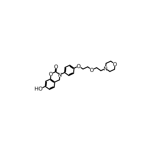 O=C1Oc2cc(O)ccc2CN1c1ccc(OCCOCCN2CCOCC2)cc1